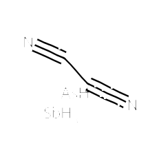 N#CC#N.[AsH3].[SbH3]